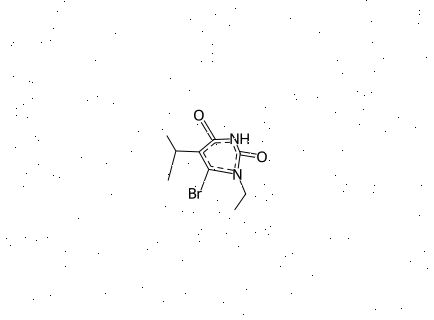 CCn1c(Br)c(C(C)C)c(=O)[nH]c1=O